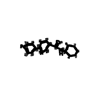 O=C(NC1CCCCC1)c1ccc(-c2ccncc2)nc1